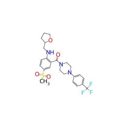 CS(=O)(=O)c1ccc(NCC2CCCO2)c(C(=O)N2CCN(c3ccc(C(F)(F)F)cc3)CC2)c1